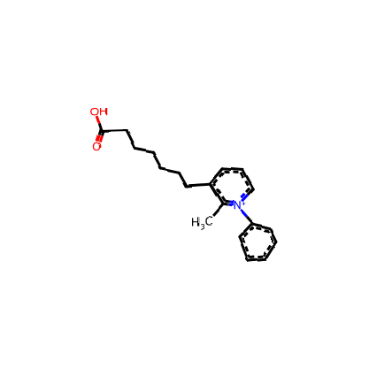 Cc1c(CCCCCCC(=O)O)ccc[n+]1-c1ccccc1